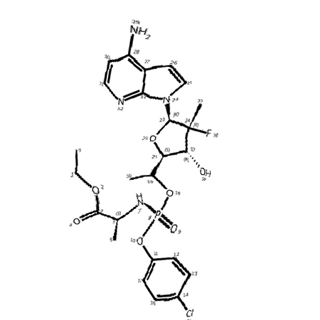 CCOC(=O)[C@H](C)NP(=O)(Oc1ccc(Cl)cc1)OC(C)[C@H]1O[C@@H](n2ccc3c(N)ccnc32)[C@](C)(F)[C@@H]1O